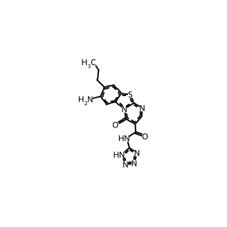 CCCc1cc2sc3ncc(C(=O)Nc4nnn[nH]4)c(=O)n3c2cc1N